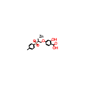 Cc1ccc(S(=O)(=O)C(C)COc2ccc(C(=O)O)c(O)c2)cc1.[Zn]